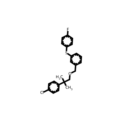 CC(C)(COCc1cccc(Sc2ccc(F)cc2)c1)c1ccc(Cl)cc1